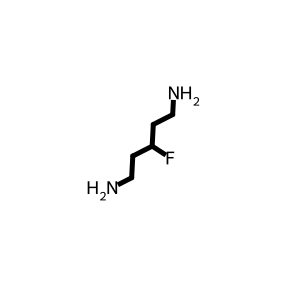 NCCC(F)CCN